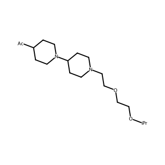 CC(=O)C1CCN(C2CCN(CCOCCOC(C)C)CC2)CC1